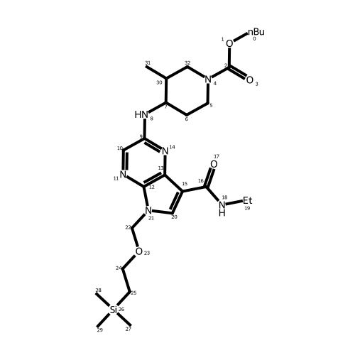 CCCCOC(=O)N1CCC(Nc2cnc3c(n2)c(C(=O)NCC)cn3COCC[Si](C)(C)C)C(C)C1